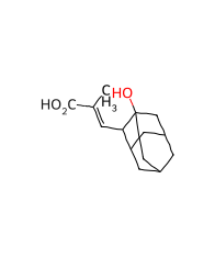 CC(=CC1C2CC3CC(C2)CC1(O)C3)C(=O)O